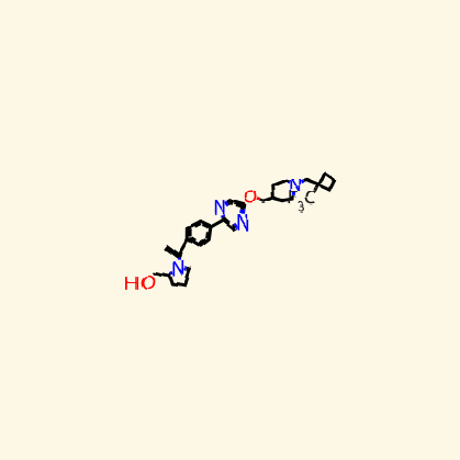 C=C(c1ccc(-c2cnc(OCC3CCN(CC4(C(F)(F)F)CCC4)CC3)cn2)cc1)N1CCCC1CO